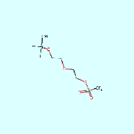 CC(C)(C)[Si](C)(C)OCCOCCOS(=O)(=O)C(F)(F)F